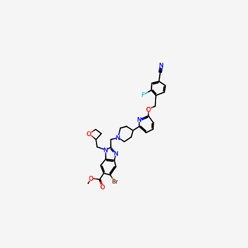 COC(=O)c1cc2c(cc1Br)nc(CN1CCC(c3cccc(OCc4ccc(C#N)cc4F)n3)CC1)n2CC1CCO1